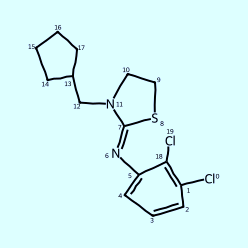 Clc1cccc(/N=C2\SCCN2CC2CCCC2)c1Cl